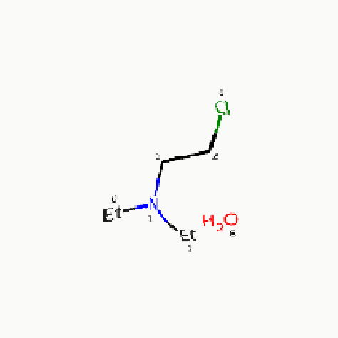 CCN(CC)CCCl.O